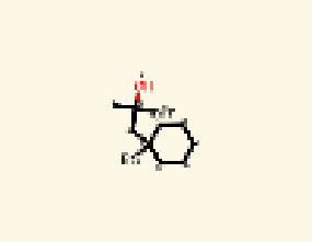 CCCC(C)(O)CC1(CC)CCCCC1